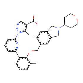 COc1c(C(O)O)cnn1-c1cccc(-c2cccc(C(F)(F)F)c2OCc2ccc3c(c2)CN(C2CCOCC2)C3)n1